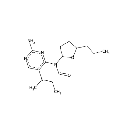 CCCC1CCC(N(C=O)c2nc(N)ncc2N(C)CC)O1